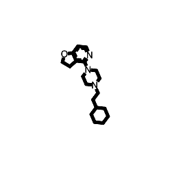 c1cc2c(c(N3CCN(CCC4CCCCC4)CC3)n1)CCO2